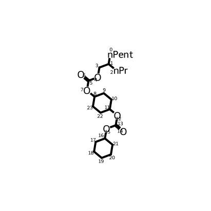 CCCCCC(CCC)COC(=O)OC1CCC(OC(=O)OC2CCCCC2)CC1